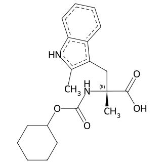 Cc1[nH]c2ccccc2c1C[C@@](C)(NC(=O)OC1CCCCC1)C(=O)O